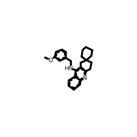 COc1cccc(CNc2c3c(nc4ccccc24)CCC2(CCCCC2)C3)c1